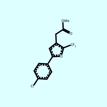 COC(=O)Cc1cc(-c2ccc(Cl)cc2)oc1C(F)(F)F